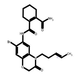 C/C=C/CCN1C(=O)COc2cc(Br)c(NC(=O)C3=C(C(N)=O)CCCC3)cc21